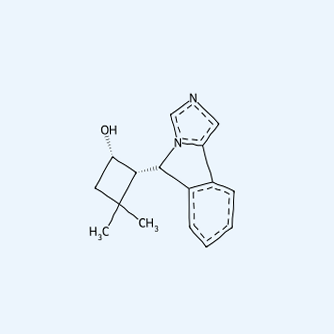 CC1(C)C[C@H](O)[C@@H]1C1c2ccccc2-c2cncn21